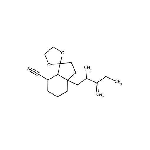 C=C(CC)C(C)CC12CCCC(C#N)C1C1(CC2)OCCO1